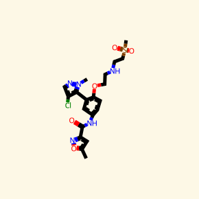 Cc1cc(C(=O)Nc2ccc(OCCNCCS(C)(=O)=O)c(-c3c(Cl)cnn3C)c2)no1